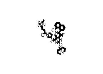 Cc1noc(/C=C/C(=O)N2CCC(N(C)c3nc(OCC45CCCN4CCC5)nc4c(F)c(-c5cccc6cccc(Cl)c56)ncc34)C2)n1